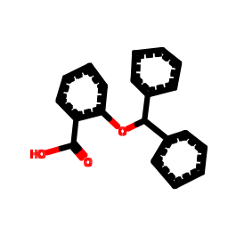 O=C(O)c1ccccc1OC(c1ccccc1)c1ccccc1